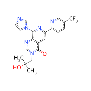 CC(C)(O)Cn1cnc2c(-n3ccnc3)nc(-c3ccc(C(F)(F)F)cn3)cc2c1=O